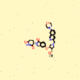 COC[C@@H]1CN(Cc2cc3ccc(N4CCOCC4)cc3cn2)C[C@H]1Oc1ccc2c(c1)CN([C@H]1CCC(=O)NC1=O)C2=O